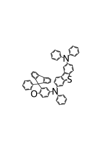 c1ccc(N(c2ccc3c(c2)C2(c4ccccc4O3)c3ccccc3-c3ccccc32)c2ccc3c(c2)sc2ccc(N(c4ccccc4)c4ccccc4)cc23)cc1